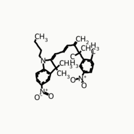 C=C(/C=C/C=C1/N(CCCC)c2ccc([N+](=O)[O-])cc2C1(C)C)C(C)(C)c1cc([N+](=O)[O-])ccc1C